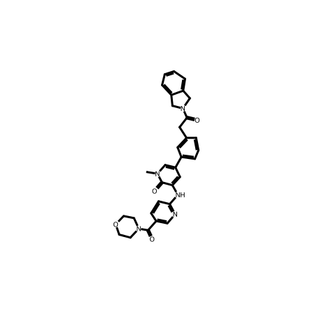 Cn1cc(-c2cccc(CC(=O)N3Cc4ccccc4C3)c2)cc(Nc2ccc(C(=O)N3CCOCC3)cn2)c1=O